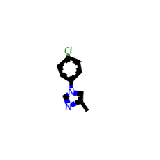 Cc1cn(-c2c[c]c(Cl)cc2)cn1